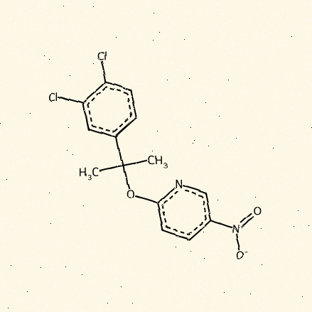 CC(C)(Oc1ccc([N+](=O)[O-])cn1)c1ccc(Cl)c(Cl)c1